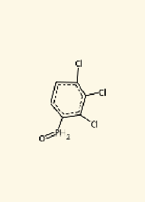 O=[PH2]c1ccc(Cl)c(Cl)c1Cl